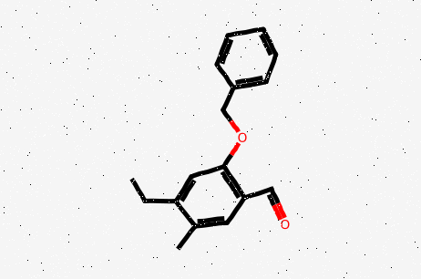 CCc1cc(OCc2ccccc2)c(C=O)cc1C